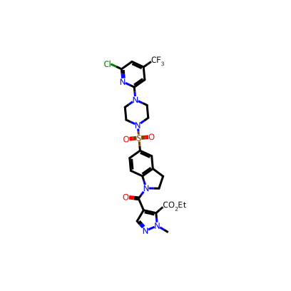 CCOC(=O)c1c(C(=O)N2CCc3cc(S(=O)(=O)N4CCN(c5cc(C(F)(F)F)cc(Cl)n5)CC4)ccc32)cnn1C